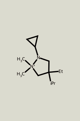 CCC1(C(C)C)CN(C2CC2)[N+](C)(C)C1